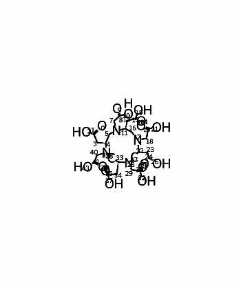 O=C(O)C[C@H]1CN(CC(=O)O)[C@@H](CC(=O)O)CN(CC(=O)O)[C@@H](CC(=O)O)CN(CC(=O)O)[C@@H](CC(=O)O)CN1CC(=O)O